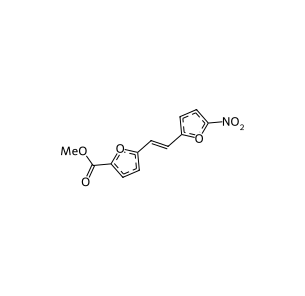 COC(=O)c1ccc(/C=C/c2ccc([N+](=O)[O-])o2)o1